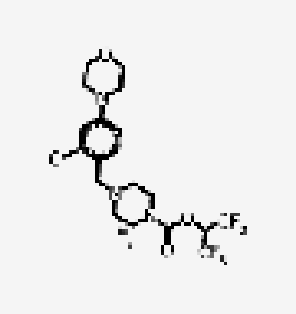 C[C@@H]1CN(Cc2ccc(N3CCOCC3)cc2Cl)CCN1C(=O)OC(C(F)(F)F)C(F)(F)F